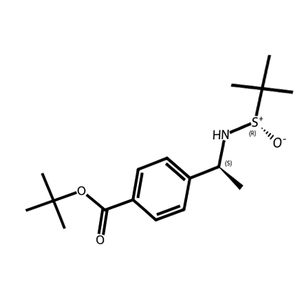 C[C@H](N[S@@+]([O-])C(C)(C)C)c1ccc(C(=O)OC(C)(C)C)cc1